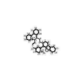 C=CC1C(CCc2ccc3c(oc4ccccc43)c2-c2cc(C)cc[n+]2C)c2ccccc2-c2cccc[n+]21